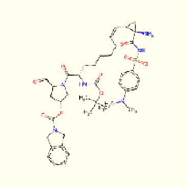 CN(C)c1ccc(S(=O)(=O)NC(=O)[C@@]2(N)C[C@H]2/C=C\CCCCC[C@H](NC(=O)OC(C)(C)C)C(=O)N2C[C@H](OC(=O)N3Cc4ccccc4C3)C[C@H]2C=O)cc1